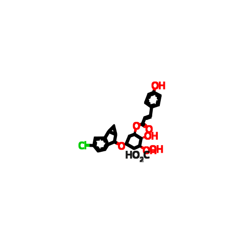 O=C(/C=C/c1ccc(O)cc1)O[C@@H]1C[C@@H](OC2c3ccc(Cl)cc3C3CC32)C[C@H](O)[C@H]1O.O=C(O)O